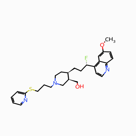 COc1ccc2nccc([C@@H](F)CC[C@@H]3CCN(CCCSc4ccccn4)C[C@@H]3CO)c2c1